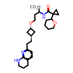 O=C(O)C(CCO[C@H]1C[C@H](CCc2ccc3c(n2)NCCC3)C1)NC(=O)C1(C2CCCCO2)CC1